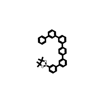 CC1(C)OB(c2cccc(-c3cccc(-c4ccc(-c5cccc(-c6cccc(-c7ccccc7)c6)c5)cc4)c3)c2)OC1(C)C